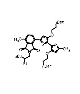 CCCCCCCCCCCCOc1cc(C)sc1-c1sc(-c2ccc(C)c3c2C(=O)N(CC(CC)CCCC)C3=O)cc1OCCCCCCCCCCCC